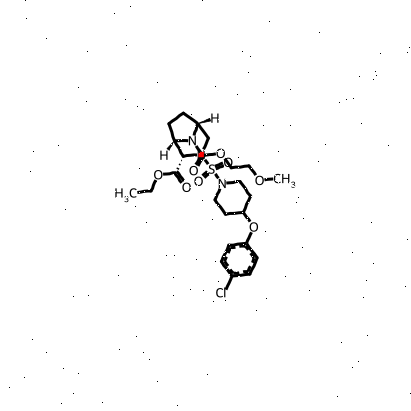 CCOC(=O)[C@@H]1[C@@H]2CC[C@H](CN1S(=O)(=O)N1CCC(Oc3ccc(Cl)cc3)CC1)N2C(=O)OCCOC